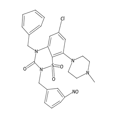 CN1CCN(c2cc(Cl)cc3c2S(=O)(=O)N(Cc2cccc(N=O)c2)C(=O)N3Cc2ccccc2)CC1